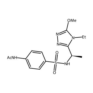 CCn1c(OC)nnc1[C@@H](C)NS(=O)(=O)c1ccc(NC(C)=O)cc1